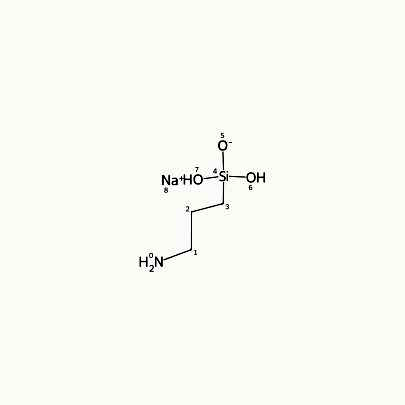 NCCC[Si]([O-])(O)O.[Na+]